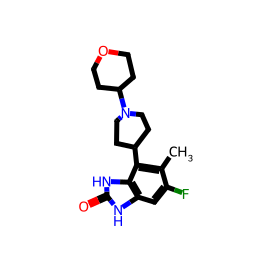 Cc1c(F)cc2[nH]c(=O)[nH]c2c1C1CCN(C2CCOCC2)CC1